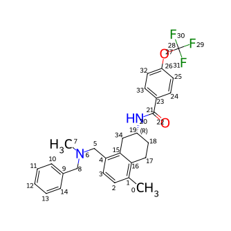 Cc1ccc(CN(C)Cc2ccccc2)c2c1CC[C@@H](NC(=O)c1ccc(OC(F)(F)F)cc1)C2